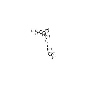 NC(=O)c1ccc2c(c1)nc(NCCOCCCCNCc1ccc(C3CC3)c(Cl)c1)c1ccncc12